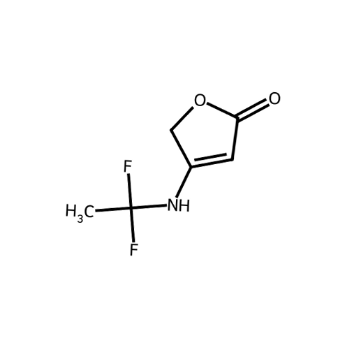 CC(F)(F)NC1=CC(=O)OC1